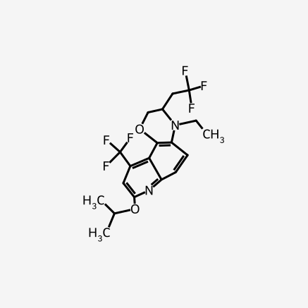 CCN1c2ccc3nc(OC(C)C)cc(C(F)(F)F)c3c2OCC1CC(F)(F)F